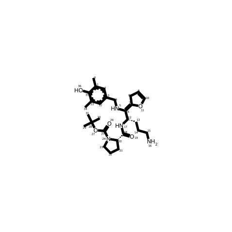 Cc1cc(CNC(=C2CC=CO2)[C@H](CCCN)NC(=O)[C@@H]2CCCN2C(=O)OC(C)(C)C)cc(C)c1O